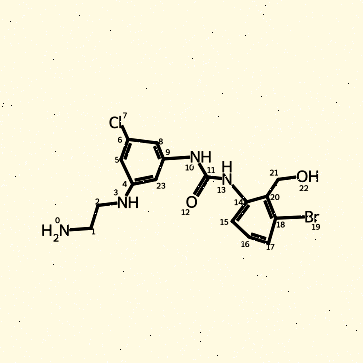 NCCNc1cc(Cl)cc(NC(=O)Nc2cccc(Br)c2CO)c1